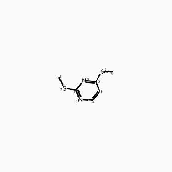 CSc1ccnc(SC)n1